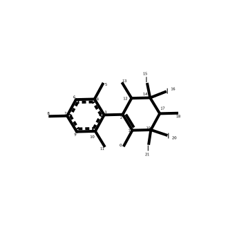 CC1=C(c2c(C)cc(C)cc2C)C(C)C(I)(I)C(C)C1(I)I